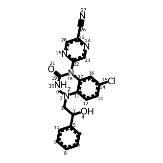 CN(CC(O)c1ccccc1)c1ccc(Cl)cc1N(C(N)=O)c1cnc(C#N)cn1